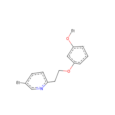 CCOc1[c]ccc(OCCc2ccc(CC)cn2)c1